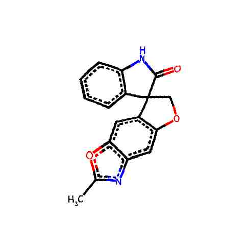 Cc1nc2cc3c(cc2o1)C1(CO3)C(=O)Nc2ccccc21